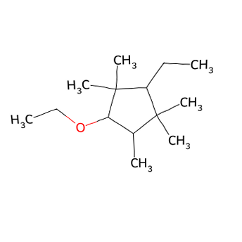 CCOC1C(C)C(C)(C)C(CC)C1(C)C